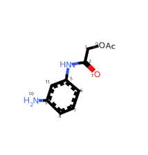 CC(=O)OCC(=O)Nc1cccc(N)c1